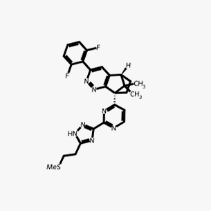 CSCCc1nc(-c2nccc([C@]34CC[C@@H](c5cc(-c6c(F)cccc6F)nnc53)C4(C)C)n2)n[nH]1